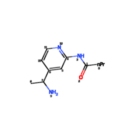 CCCC(=O)Nc1cc(C(C)N)ccn1